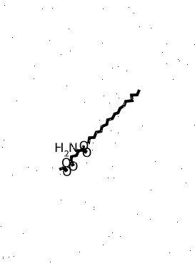 CCCCCCCCCCCCCCCCCCOC(=O)C(N)CCC(=O)OC(C)=O